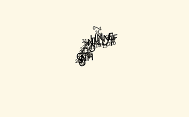 CCCCNc1nc(C(F)(F)F)ccc1C=CC(=O)N[C@H](C)c1ccc(NS(C)(=O)=O)c(F)c1